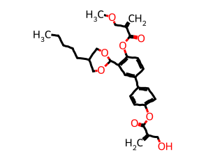 C=C(CO)C(=O)Oc1ccc(-c2ccc(OC(=O)C(=C)COC)c(C3OCC(CCCCC)CO3)c2)cc1